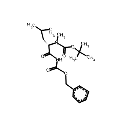 CC(C)C[C@@H](C(=O)NC(=O)OCc1ccccc1)N(C)C(=O)OC(C)(C)C